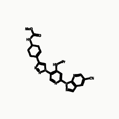 COC(=O)NC1CC=C(c2cn(-c3cnc(-n4ncc5cc(C#N)cnc54)cc3NC(C)C)nn2)CC1